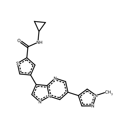 Cn1cc(-c2cnc3c(-c4csc(C(=O)NC5CC5)c4)cnn3c2)cn1